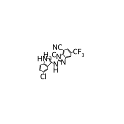 Cn1c(Nc2c[nH]c3ccc(Cl)cc23)nc2cc(C(F)(F)F)cc(C#N)c21